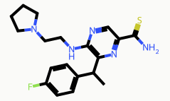 CC(c1ccc(F)cc1)c1nc(C(N)=S)cnc1NCCN1CCCC1